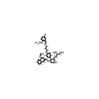 COc1ccc(F)cc1COCCCOc1ccc([C@@H]2[C@@H](OCc3cc(OC)c4ccccc4c3)CNC[C@@H]2OC[C@H](O)CO)cc1